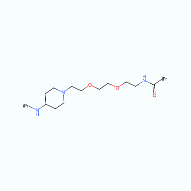 CC(C)NC1CCN(CCOCCOCCNC(=O)C(C)C)CC1